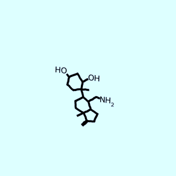 C=C1CCC2C(CN)C(C3(C)CCC(O)CC3O)CCC12C